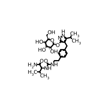 CC(C)c1[nH]nc(O[C@@H]2O[C@H](CO)[C@H](O)[C@H](O)[C@H]2O)c1Cc1ccc(CCNC(=O)N[C@H](C(N)=O)C(C)C)cc1